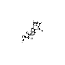 Cc1nc(N)c2c(-c3ccc(NC(=O)[C@H](O)c4cccc(F)c4)c(F)c3C)cn(C)c2n1